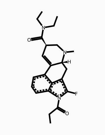 CCC(=O)n1c(F)c2c3c(cccc31)C1=C[C@@H](C(=O)N(CC)CC)CN(C)[C@@H]1C2